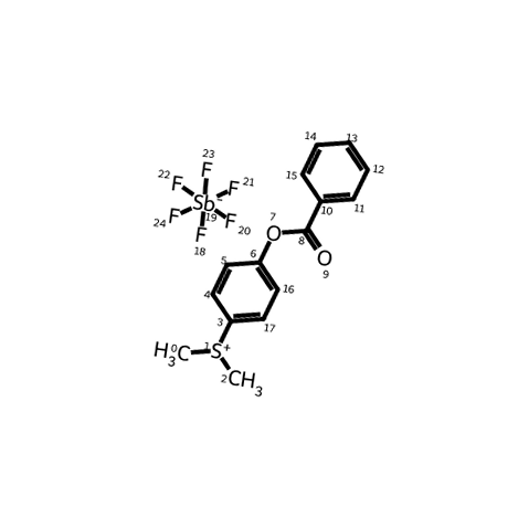 C[S+](C)c1ccc(OC(=O)c2ccccc2)cc1.[F][Sb-]([F])([F])([F])([F])[F]